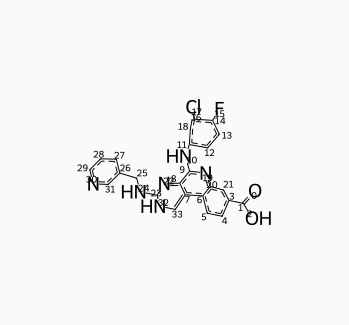 O=C(O)c1ccc2c3c(c(Nc4ccc(F)c(Cl)c4)nc2c1)=NC(NCc1cccnc1)NC=3